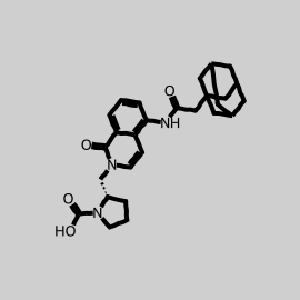 O=C(CC12CC3CC(CC(C3)C1)C2)Nc1cccc2c(=O)n(C[C@@H]3CCCN3C(=O)O)ccc12